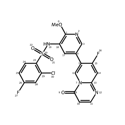 COc1ncc(-c2cn3c(=O)ccnc3cc2F)cc1NS(=O)(=O)c1ccc(F)cc1Cl